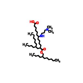 CCCCCCC(CCCC)COC(=O)C(CCCCC(CCCCCC(=O)O)NCCCN(C)C)CC(CCCC)CCCCCC